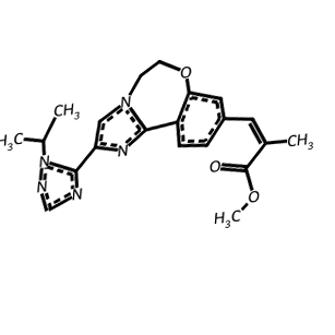 COC(=O)C(C)=Cc1ccc2c(c1)OCCn1cc(-c3ncnn3C(C)C)nc1-2